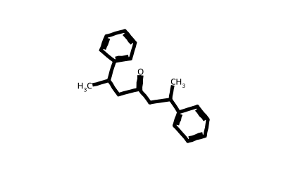 CC(CC(=O)CC(C)c1ccccc1)c1ccccc1